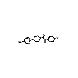 CCc1ccc(NC(=O)N2CCN(c3ccc(C#N)cn3)CC2)cc1